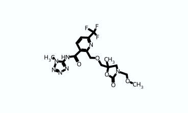 COCN1CC(C)(COCc2nc(C(F)(F)F)ccc2C(=O)Nc2nnnn2C)OC1=O